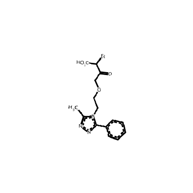 CCC(C(=O)O)C(=O)COCCn1c(C)nnc1-c1ccccc1